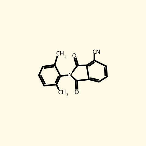 Cc1cccc(C)c1N1C(=O)c2cccc(C#N)c2C1=O